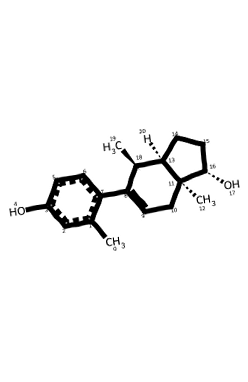 Cc1cc(O)ccc1C1=CC[C@@]2(C)[C@H](CC[C@@H]2O)[C@@H]1C